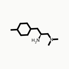 CC1CCC(C[C@H](N)CN(C)C)CC1